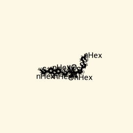 CCCCCCc1ccc(-c2ccc(-c3ccc(C4=C5C(=O)N(CCCCCC)C(c6ccc(-c7ccc8c(c7)C(CCCCCC)(CCCCCC)c7cc(-c9ccc(C)s9)ccc7-8)s6)=C5C(=O)N4CCCCCC)s3)s2)s1